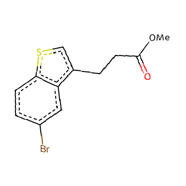 COC(=O)CCc1csc2ccc(Br)cc12